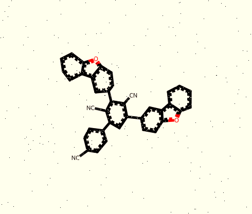 N#Cc1ccc(-c2cc(-c3ccc4oc5ccccc5c4c3)c(C#N)c(-c3ccc4oc5ccccc5c4c3)c2C#N)cc1